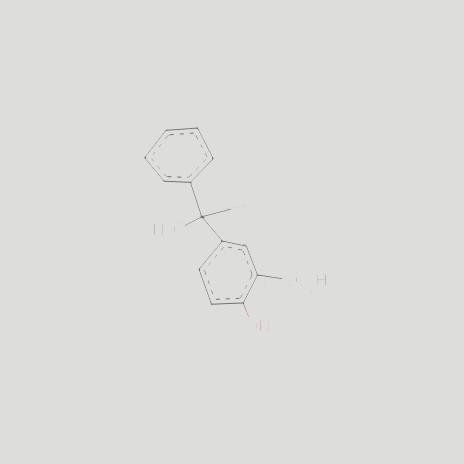 CCC(C)(c1ccccc1)c1ccc(O)c(C(=O)O)c1